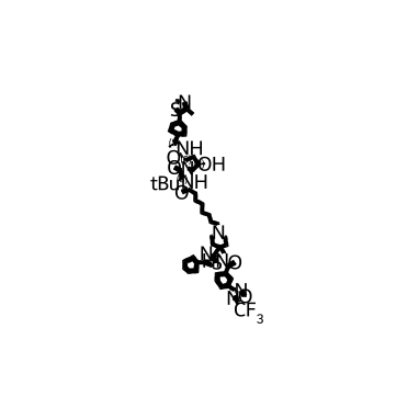 Cc1ncsc1-c1ccc([C@H](C)NC(=O)[C@@H]2C[C@@H](O)CN2C(=O)[C@@H](NC(=O)CCCCCCCN2CCC(CNC(=O)c3cccc(-c4noc(C(F)(F)F)n4)c3)(c3nc(-c4ccccc4)cs3)CC2)C(C)(C)C)cc1